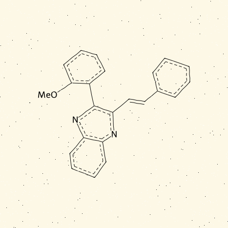 COc1ccccc1-c1nc2ccccc2nc1C=Cc1ccccc1